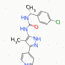 Cc1c(-c2ccncc2)n[nH]c1NC(=O)N[C@H](C)c1ccc(Cl)cc1